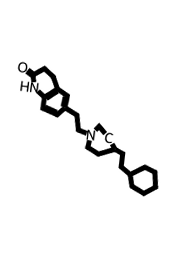 O=C1CCc2cc(CCN3CCC(CCC4CCCCC4)CC3)ccc2N1